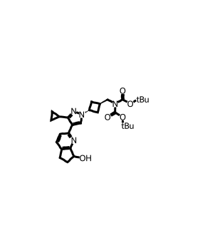 CC(C)(C)OC(=O)N(C[C@H]1C[C@H](n2cc(-c3ccc4c(n3)C(O)CC4)c(C3CC3)n2)C1)C(=O)OC(C)(C)C